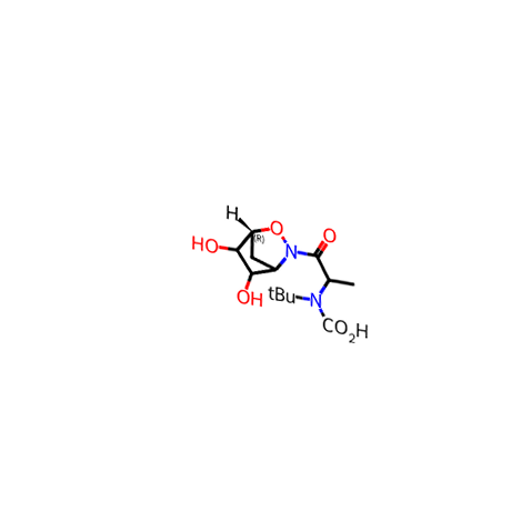 CC(C(=O)N1O[C@@H]2CC1C(O)C2O)N(C(=O)O)C(C)(C)C